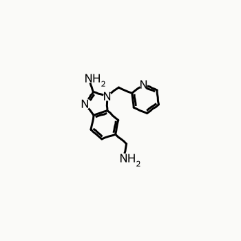 NCc1ccc2nc(N)n(Cc3ccccn3)c2c1